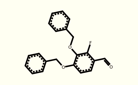 O=Cc1ccc(OCc2ccccc2)c(OCc2ccccc2)c1F